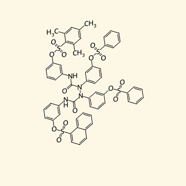 Cc1cc(C)c(S(=O)(=O)Oc2cccc(NC(=O)N(c3cccc(OS(=O)(=O)c4ccccc4)c3)N(C(=O)Nc3cccc(OS(=O)(=O)c4cccc5ccccc45)c3)c3cccc(OS(=O)(=O)c4ccccc4)c3)c2)c(C)c1